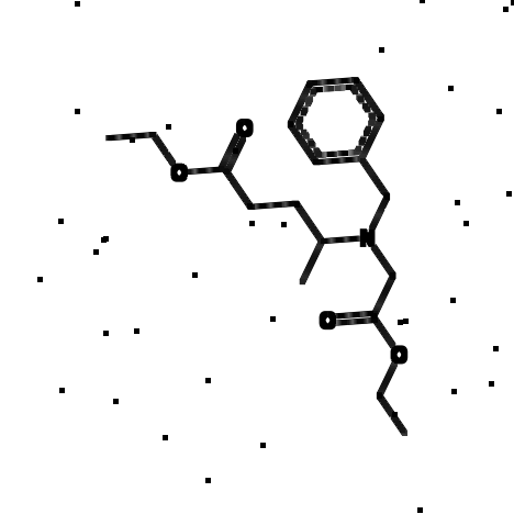 CCOC(=O)CCC(C)N(CC(=O)OCC)Cc1ccccc1